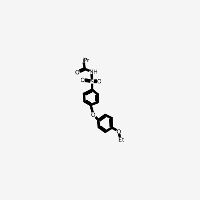 CCOc1ccc(Oc2ccc(S(=O)(=O)NC(=O)C(C)C)cc2)cc1